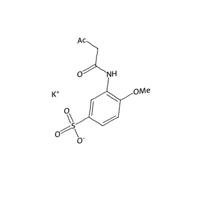 COc1ccc(S(=O)(=O)[O-])cc1NC(=O)CC(C)=O.[K+]